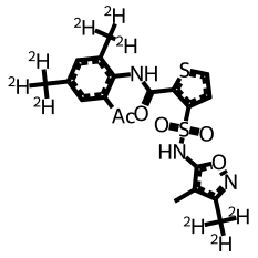 [2H]C([2H])([2H])c1cc(C(C)=O)c(NC(=O)c2sccc2S(=O)(=O)Nc2onc(C([2H])([2H])[2H])c2C)c(C([2H])([2H])[2H])c1